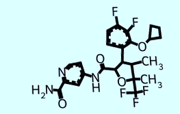 CC1C(c2ccc(F)c(F)c2OC2CCC2)C(C(=O)Nc2ccnc(C(N)=O)c2)OC1(C)C(F)(F)F